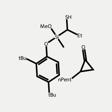 CCC(S)[Si](C)(OC)Oc1ccc(C(C)(C)C)cc1C(C)(C)C.CCCCCC1CC1=O